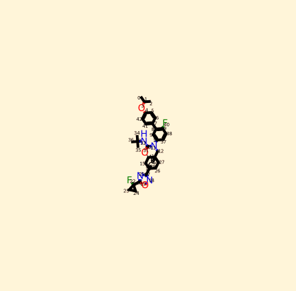 CC(C)Oc1ccc(-c2cc(N(CC34CCC(c5noc(C6(F)CC6)n5)(CC3)CC4)C(=O)NC(C)(C)C)ccc2F)cc1